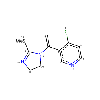 C=C(c1cnccc1Cl)N1CCN=C1SC